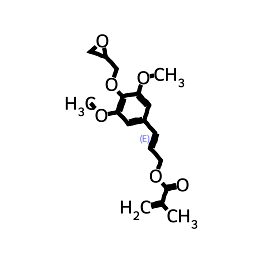 C=C(C)C(=O)OC/C=C/c1cc(OC)c(OCC2CO2)c(OC)c1